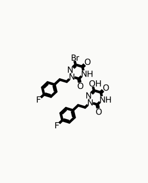 O=c1[nH]c(=O)n(CCc2ccc(F)cc2)nc1Br.O=c1[nH]c(=O)n(CCc2ccc(F)cc2)nc1O